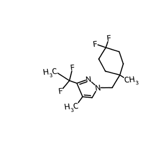 Cc1cn(CC2(C)CCC(F)(F)CC2)nc1C(C)(F)F